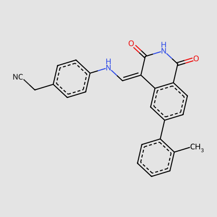 Cc1ccccc1-c1ccc2c(c1)C(=CNc1ccc(CC#N)cc1)C(=O)NC2=O